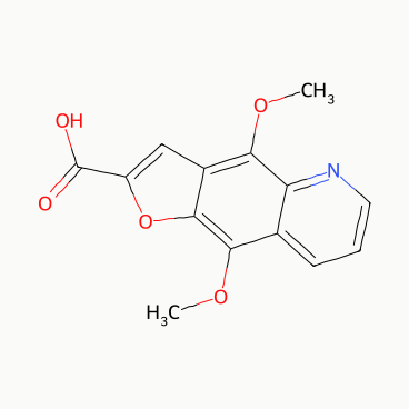 COc1c2cc(C(=O)O)oc2c(OC)c2cccnc12